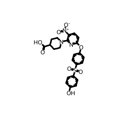 O=C(O)C1CCN(c2nc(Oc3ccc(S(=O)(=O)c4ccc(O)cc4)cc3)ccc2[N+](=O)[O-])CC1